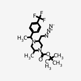 CC1CN(C(C)c2ccc(C(F)(F)F)cc2)C(CN=[N+]=[N-])CN1C(=O)OC(C)(C)C